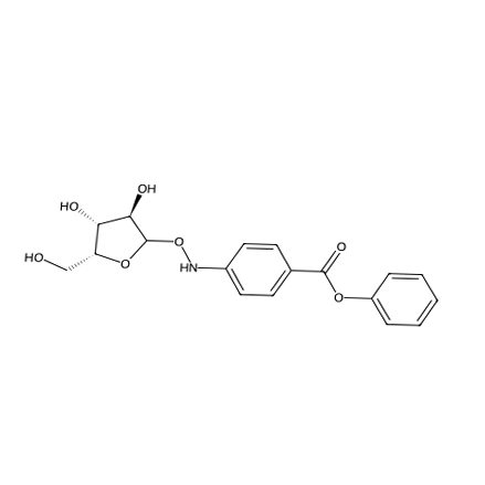 O=C(Oc1ccccc1)c1ccc(NOC2O[C@H](CO)[C@H](O)[C@H]2O)cc1